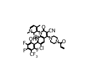 C=CC(=O)N1CCN(c2c(C#N)c(=O)n(C3=C(C)C=CN(C)C3C(C)C)c3nc(-c4c(O)c(F)c(F)c(C(F)(F)F)c4F)c(Cl)cc23)CC1